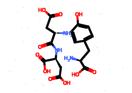 N[C@@H](CC(=O)O)C(=O)N[C@@H](CC(=O)O)C(=O)O.N[C@@H](Cc1ccc(O)cc1)C(=O)O